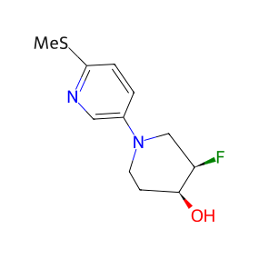 CSc1ccc(N2CC[C@H](O)[C@H](F)C2)cn1